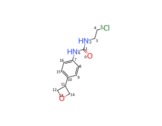 O=C(NCCCl)Nc1ccc(C2COC2)cc1